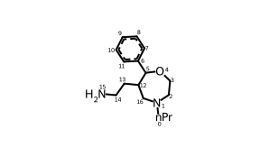 CCCN1CCOC(c2ccccc2)C(CCN)C1